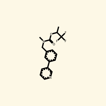 CC(OC(=O)N(C)Cc1cccc(-c2cccnc2)c1)C(F)(F)F